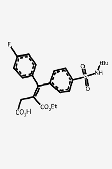 CCOC(=O)C(CC(=O)O)=C(c1ccc(F)cc1)c1ccc(S(=O)(=O)NC(C)(C)C)cc1